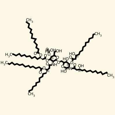 CCCCCCCCCCCCCC(=O)O[C@H](CCCCCCCCCCC)CC(=O)N[C@H]1C(OC(=O)C[C@@H](CCCCCCCCCCC)OC(=O)CCCCCCCCCCCCC)[C@H](O[PH](=O)O)C(CO)O[C@H]1OCC1O[C@H](O)C(NC(=O)C[C@H](O)CCCCCCCCCCC)[C@@H](OC(=O)C[C@H](O)CCCCCCCCCCC)[C@@H]1O